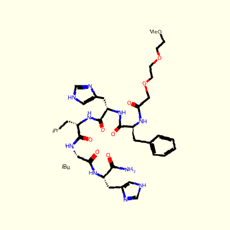 CC[C@H](C)[C@H](NC(=O)[C@H](CC(C)C)NC(=O)[C@H](Cc1c[nH]cn1)NC(=O)[C@H](Cc1ccccc1)NC(=O)COCCOCCOC)C(=O)N[C@@H](Cc1c[nH]cn1)C(N)=O